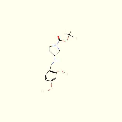 COc1ccc(CN[C@H]2CCN(C(=O)OC(C)(C)C)C2)c(OC)c1